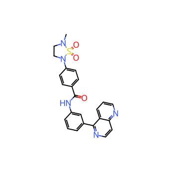 CN1CCN(c2ccc(C(=O)Nc3cccc(-c4nccc5ncccc45)c3)cc2)S1(=O)=O